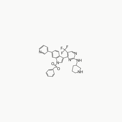 O=S(=O)(c1ccccc1)n1cc(-c2nc(NC3CCCNC3)ncc2C(F)(F)F)c2ccc(-c3cccnc3)cc21